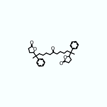 CC(CCCCC(=O)CCCCC(C)(c1ccccc1)C1CCC(=O)O1)(c1ccccc1)C1CCC(=O)O1